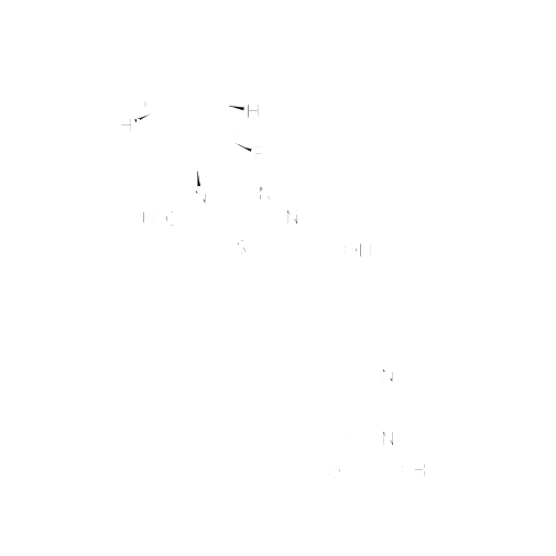 CN(c1nnc(-c2ccc(-c3cc(=O)n(C)cn3)cc2O)s1)[C@H]1C[C@@H]2CC[C@@H](C2)[C@H]1F